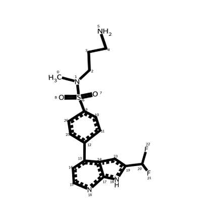 CN(CCCN)S(=O)(=O)c1ccc(-c2ccnc3[nH]c(C(F)F)cc23)cc1